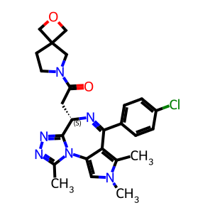 Cc1c2c(cn1C)-n1c(C)nnc1[C@H](CC(=O)N1CCC3(COC3)C1)N=C2c1ccc(Cl)cc1